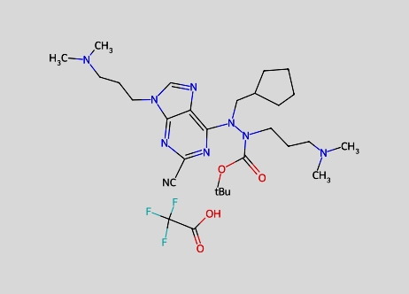 CN(C)CCCN(C(=O)OC(C)(C)C)N(CC1CCCC1)c1nc(C#N)nc2c1ncn2CCCN(C)C.O=C(O)C(F)(F)F